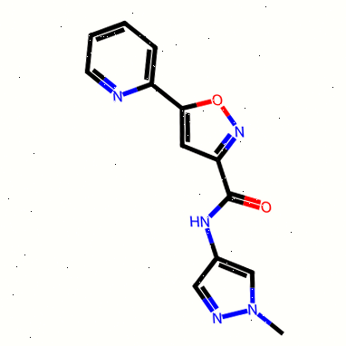 Cn1cc(NC(=O)c2cc(-c3ccccn3)on2)cn1